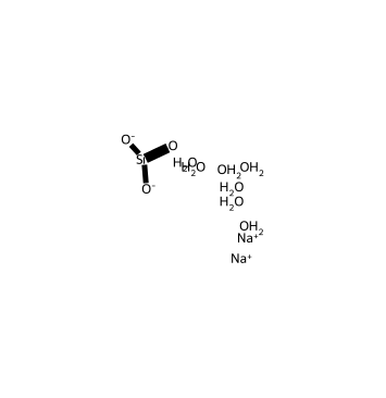 O.O.O.O.O.O.O.O=[Si]([O-])[O-].[Na+].[Na+]